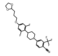 N#Cc1ccc(N2CCC(c3c(F)cc(OCCCC4OCCO4)cc3F)CC2)cc1C(F)(F)F